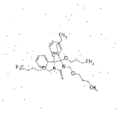 CCCCOCN1C(=S)N(COCCCC)C(OCCCC)(c2ccccc2)C1(OCCCC)c1ccccc1